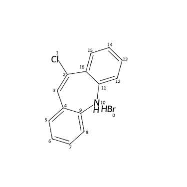 Br.ClC1=Cc2ccccc2Nc2ccccc21